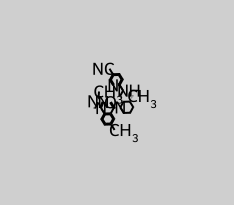 Cc1ccc(-n2cnc(C)n2)c(C(=O)N2CCC[C@@H](C)[C@H]2CNc2ccc(C#N)cn2)c1